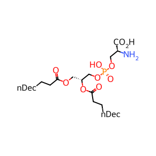 CCCCCCCCCCCCC(=O)OC[C@H](COP(=O)(O)OC[C@H](N)C(=O)O)OC(=O)CCCCCCCCCCCC